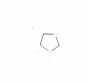 C1CNCN1.S.[Cu]